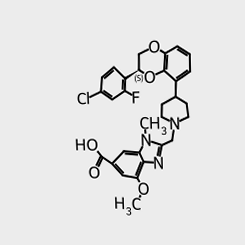 COc1cc(C(=O)O)cc2c1nc(CN1CCC(c3cccc4c3O[C@@H](c3ccc(Cl)cc3F)CO4)CC1)n2C